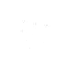 CO[SiH](OC)C1(C(C)(C)C)CCCCC1